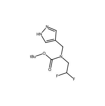 CC(C)(C)OC(=O)N(Cc1cn[nH]c1)CC(F)F